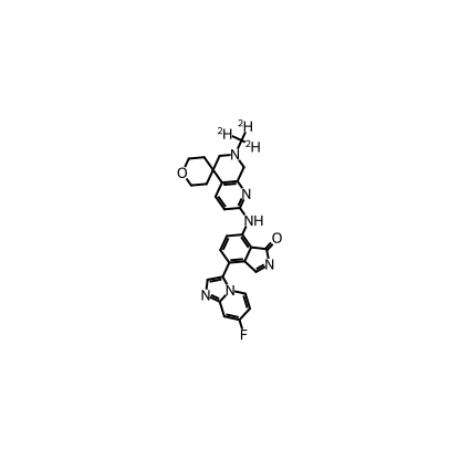 [2H]C([2H])([2H])N1Cc2nc(Nc3ccc(-c4cnc5cc(F)ccn45)c4c3C(=O)N=C4)ccc2C2(CCOCC2)C1